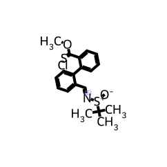 COC(=S)c1ccccc1-c1c(Cl)cccc1/C=N/[S+]([O-])C(C)(C)C